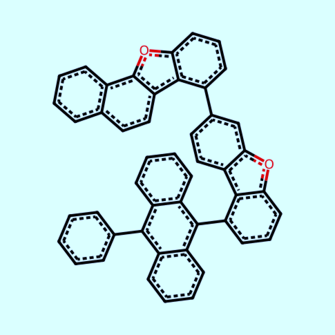 c1ccc(-c2c3ccccc3c(-c3cccc4oc5cc(-c6cccc7oc8c9ccccc9ccc8c67)ccc5c34)c3ccccc23)cc1